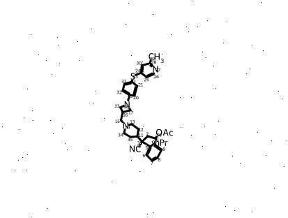 CCCC(CC(C#N)(c1ccccc1)C1CCN(CC2CN(c3ccc(Sc4ccnc(C)c4)cc3)C2)CC1)OC(C)=O